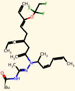 C=CC(=CCC(=C=CC)CC(=C)N(/N=C(\C)NC(=O)[C@H](C)CC)C(C)/C=C\C=C/C)OC(F)(F)CF